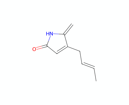 C=C1NC(=O)C=C1C/C=C/C